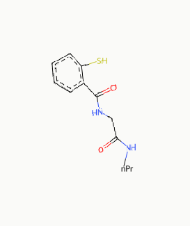 CCCNC(=O)CNC(=O)c1ccccc1S